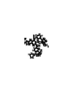 COc1c(Nc2cc(Nc3ccc(C(O)N4CCCC4)c(C(F)(F)F)n3)nc3[nH]c(C(F)F)nc23)cccc1-c1nnn(C)n1